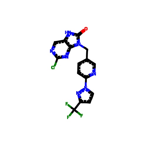 O=c1[nH]c2cnc(Cl)nc2n1Cc1ccc(-n2ccc(C(F)(F)F)n2)nc1